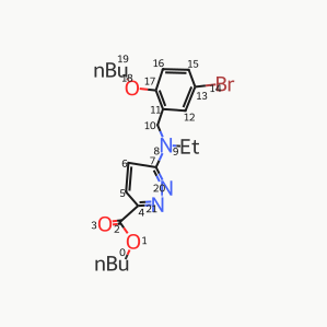 CCCCOC(=O)c1ccc(N(CC)Cc2cc(Br)ccc2OCCCC)nn1